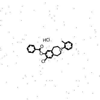 Cc1ccccc1N1CCc2cc(Cl)c(OC(=O)c3ccccc3)cc2CC1.Cl